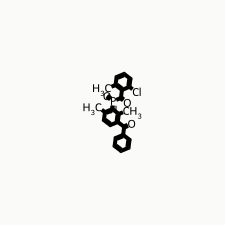 Cc1cccc(Cl)c1C(=O)[PH](=O)c1c(C)ccc(C(=O)c2ccccc2)c1C